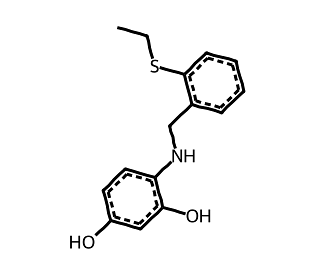 CCSc1ccccc1CNc1ccc(O)cc1O